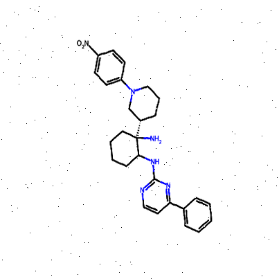 NC1([C@H]2CCCN(c3ccc([N+](=O)[O-])cc3)C2)CCCCC1Nc1nccc(-c2ccccc2)n1